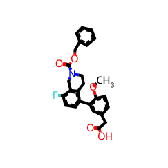 COc1ccc(CC(=O)O)cc1-c1ccc(F)c2c1CCN(C(=O)OCc1ccccc1)C2